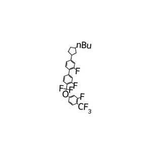 CCCCC1CCC(c2ccc(-c3ccc(C(F)(F)Oc4ccc(C(F)(F)F)c(F)c4)c(F)c3)c(F)c2)C1